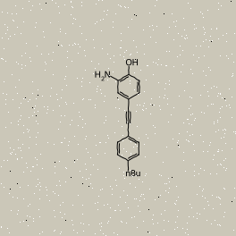 CCCCc1ccc(C#Cc2ccc(O)c(N)c2)cc1